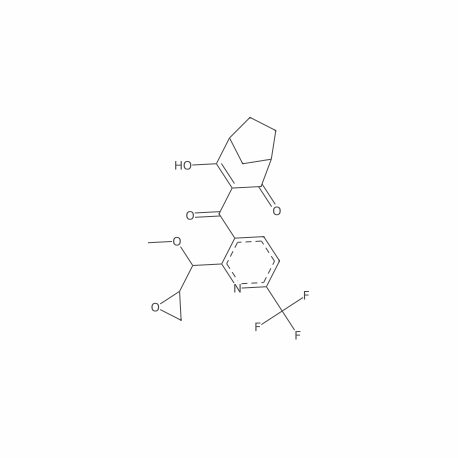 COC(c1nc(C(F)(F)F)ccc1C(=O)C1=C(O)C2CCC(C2)C1=O)C1CO1